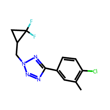 Cc1cc(-c2nnn(CC3CC3(F)F)n2)ccc1Cl